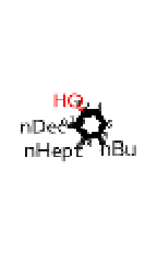 CCCCCCCCCCc1c(O)ccc(CCCC)c1CCCCCCC